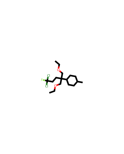 CCOCC(CCC(F)(Cl)Cl)(COCC)C1CCC(C)CC1